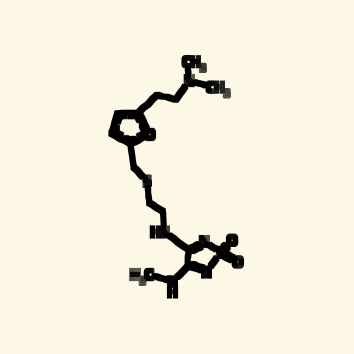 CNC1=NS(=O)(=O)N=C1NCCSCc1ccc(CCN(C)C)o1